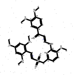 COc1cc(OC)c(/C=C/S(=O)(=O)Cc2ccc(OC)c(N/C=C/C(=O)c3ccc(OC)c(OC)c3)n2)c(OC)c1